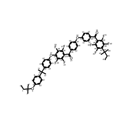 CCC(C)(C)Oc1ccc(C(C)(C)c2ccc(Oc3c(F)c(F)c(C(=O)c4ccc(Oc5ccc(C(=O)c6c(F)c(F)c(C(C)(C)CC)c(F)c6F)cc5)cc4)c(F)c3F)cc2)cc1